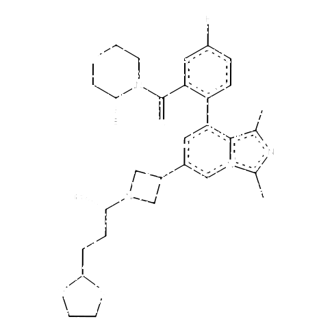 Cc1nc(F)c2c(-c3ccc(F)cc3C(=O)N3CCOC[C@H]3C)cc(C3CN([C@H](CCC4OCCO4)C(C)C)C3)cn12